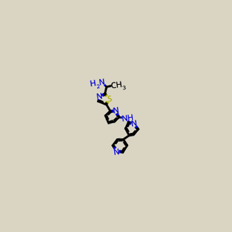 CC(N)c1ncc(-c2cccc(Nc3cc(-c4ccncc4)ccn3)n2)s1